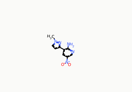 Cn1ccc(-c2cc([N+](=O)[O-])cnc2N)n1